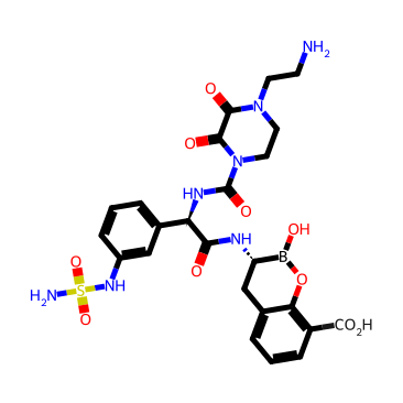 NCCN1CCN(C(=O)N[C@@H](C(=O)N[C@H]2Cc3cccc(C(=O)O)c3OB2O)c2cccc(NS(N)(=O)=O)c2)C(=O)C1=O